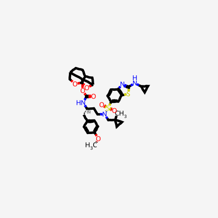 COc1ccc(C[C@@H](CCN(CC2(C)CC2)S(=O)(=O)c2ccc3nc(NC4CC4)sc3c2)NC(=O)OC2C3CCC4CC2OC4OC3)cc1